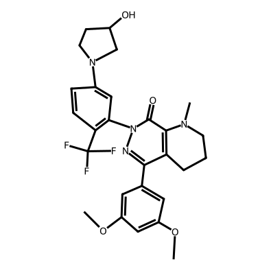 COc1cc(OC)cc(-c2nn(-c3cc(N4CCC(O)C4)ccc3C(F)(F)F)c(=O)c3c2CCCN3C)c1